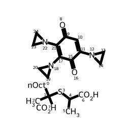 CCCCCCCCC(C)(SC(C)C(=O)O)C(=O)O.O=C1C=C(N2CC2)C(=O)C(N2CC2)=C1N1CC1